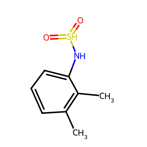 Cc1cccc(N[SH](=O)=O)c1C